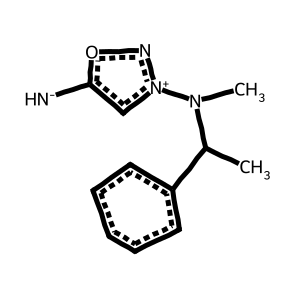 CC(c1ccccc1)N(C)[n+]1cc([NH-])on1